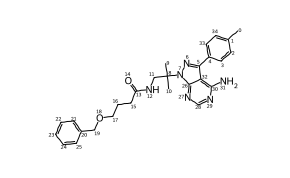 Cc1ccc(-c2nn(C(C)(C)CNC(=O)CCCOCc3ccccc3)c3ncnc(N)c23)cc1